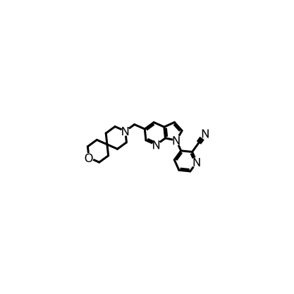 N#Cc1ncccc1-n1ccc2cc(CN3CCC4(CCOCC4)CC3)cnc21